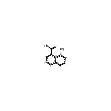 Cl.O=C(O)c1cncc2cccnc12